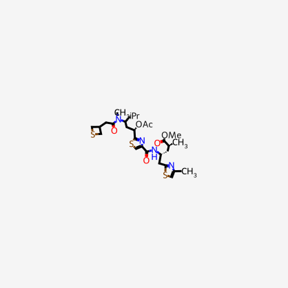 COC(=O)[C@@H](C)C[C@H](Cc1nc(C)cs1)NC(=O)c1csc([C@@H](CC(C(C)C)N(C)C(=O)CC2CSC2)OC(C)=O)n1